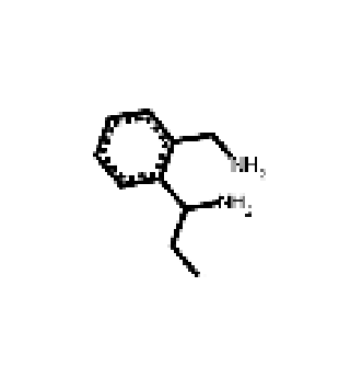 [CH2]CC(N)c1ccccc1CN